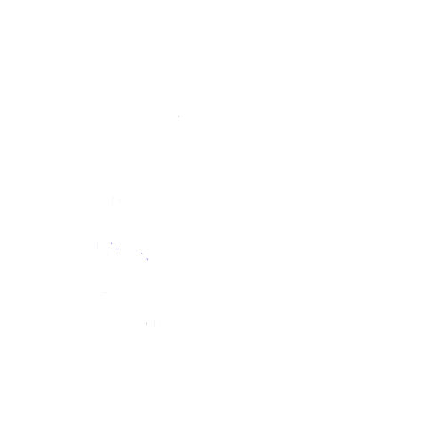 CC1(C)CC[C@@H](c2cc(OCc3ccccc3)c(Cl)cc2Br)N1N